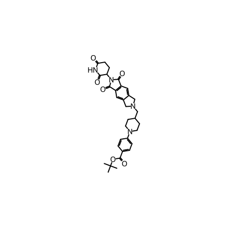 CC(C)(C)OC(=O)c1ccc(N2CCC(CN3Cc4cc5c(cc4C3)C(=O)N(C3CCC(=O)NC3=O)C5=O)CC2)cc1